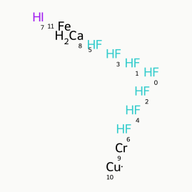 F.F.F.F.F.F.F.I.[CaH2].[Cr].[Cu].[Fe]